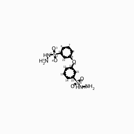 NNS(=O)(=O)c1cccc(Oc2cccc(S(=O)(=O)NN)c2)c1